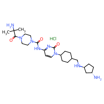 CC(C)(N)C(=O)N1CCN(C(=O)Nc2ccn(C3CCC(CN[C@H]4CC[C@H](N)C4)CC3)c(=O)n2)CC1.Cl